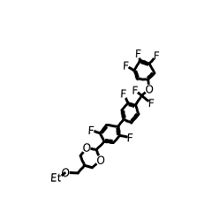 CCOCC1COC(c2cc(F)c(-c3ccc(C(F)(F)Oc4cc(F)c(F)c(F)c4)c(F)c3)cc2F)OC1